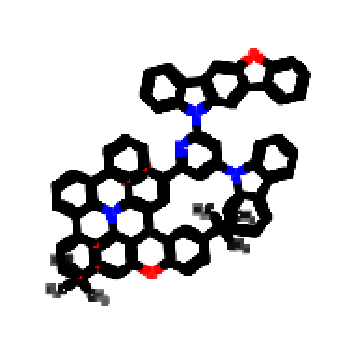 CC(C)(C)c1ccc2c(c1)B1c3cc(-c4cc(-n5c6ccccc6c6ccccc65)cc(-n5c6ccccc6c6cc7oc8ccccc8c7cc65)n4)ccc3N(c3c(-c4ccccc4)cccc3-c3ccccc3)c3cc(C(C)(C)C)cc(c31)O2